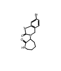 CN1C(=O)N(C2CCCCNC2=O)Cc2ccc(Br)cc21